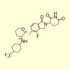 O=C1CCC(N2Cc3c(ccc(C[C@H]4OCCC[C@@H]4NC4CCC(C(F)(F)F)CC4)c3F)C2=O)C(=O)N1